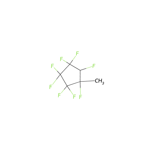 CC1(F)C(F)C(F)(F)C(F)(F)C1(F)F